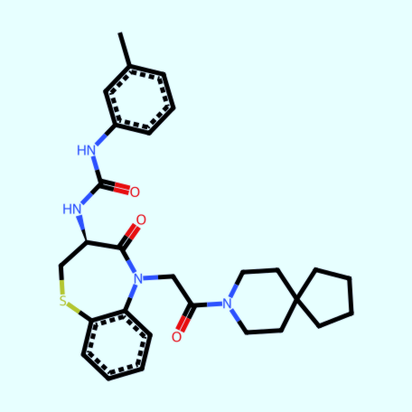 Cc1cccc(NC(=O)N[C@@H]2CSc3ccccc3N(CC(=O)N3CCC4(CCCC4)CC3)C2=O)c1